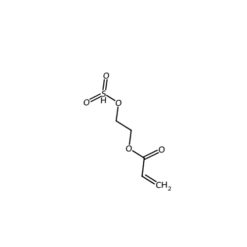 C=CC(=O)OCCO[SH](=O)=O